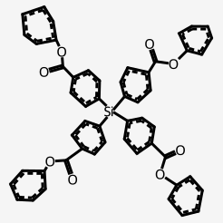 O=C(Oc1ccccc1)c1ccc([Si](c2ccc(C(=O)Oc3ccccc3)cc2)(c2ccc(C(=O)Oc3ccccc3)cc2)c2ccc(C(=O)Oc3ccccc3)cc2)cc1